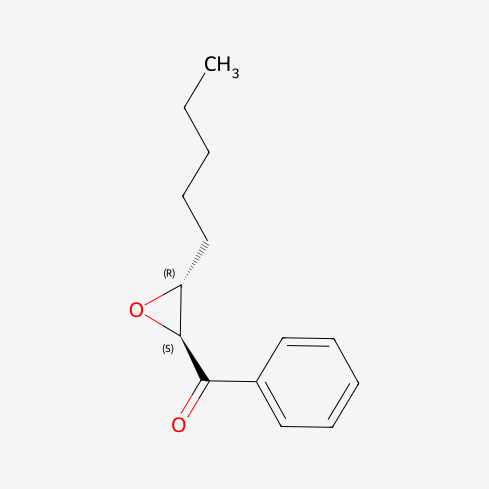 CCCCC[C@H]1O[C@@H]1C(=O)c1ccccc1